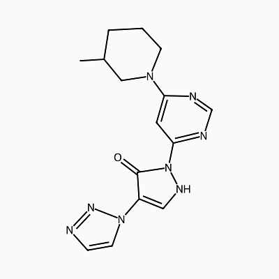 CC1CCCN(c2cc(-n3[nH]cc(-n4ccnn4)c3=O)ncn2)C1